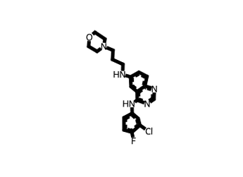 Fc1ccc(Nc2ncnc3ccc(NCCCN4CCOCC4)cc23)cc1Cl